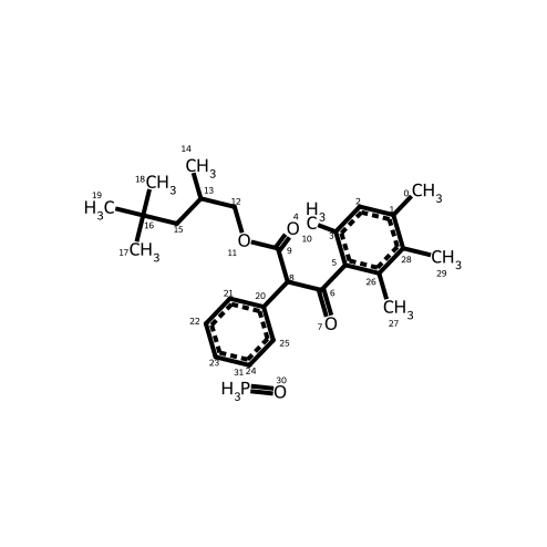 Cc1cc(C)c(C(=O)C(C(=O)OCC(C)CC(C)(C)C)c2ccccc2)c(C)c1C.O=[PH3]